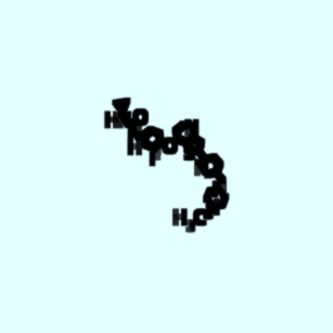 CCN1CCN(Cc2ccc(-c3cc4nccc(Oc5ccc(NC(=O)NC6CC6)cc5F)c4s3)nc2)CC1